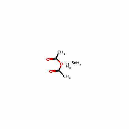 CC(=O)OC(C)=O.[InH3].[SnH4]